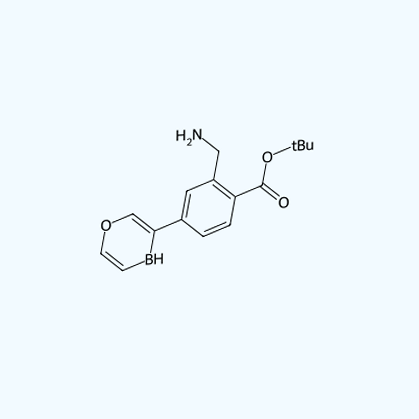 CC(C)(C)OC(=O)c1ccc(C2=COC=CB2)cc1CN